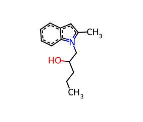 CCCC(O)Cn1c(C)cc2ccccc21